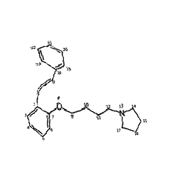 C(=Cc1ccccc1OCCCCN1CCCC1)c1ccccc1